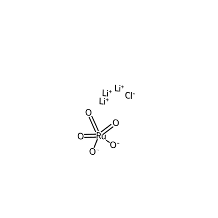 [Cl-].[Li+].[Li+].[Li+].[O]=[Ru](=[O])(=[O])([O-])[O-]